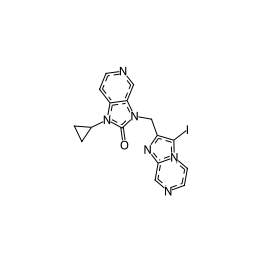 O=c1n(Cc2nc3cnccn3c2I)c2cnccc2n1C1CC1